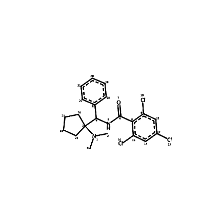 CN(C)C1(C(NC(=O)c2c(Cl)cc(Cl)cc2Cl)c2ccccc2)CCCC1